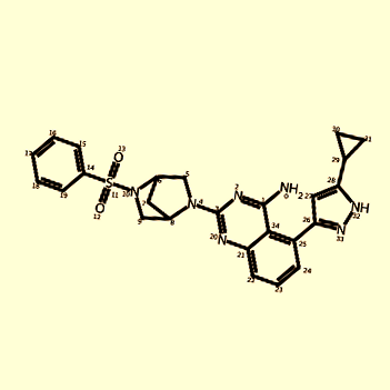 Nc1nc(N2CC3CC2CN3S(=O)(=O)c2ccccc2)nc2cccc(-c3cc(C4CC4)[nH]n3)c12